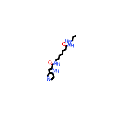 CCCNNC(=O)CCCCCCNC(=O)c1cc2cnccc2[nH]1